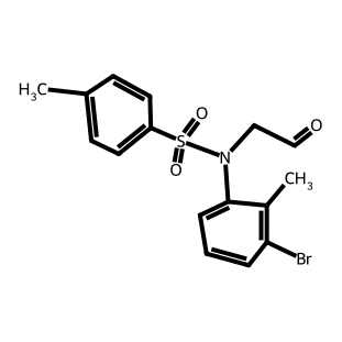 Cc1ccc(S(=O)(=O)N(CC=O)c2cccc(Br)c2C)cc1